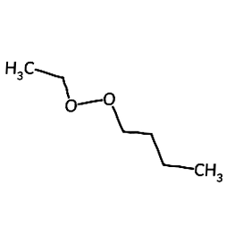 CCCCOOCC